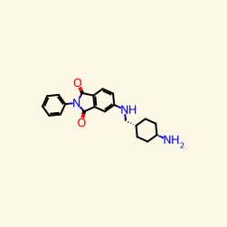 N[C@H]1CC[C@H](CNc2ccc3c(c2)C(=O)N(c2ccccc2)C3=O)CC1